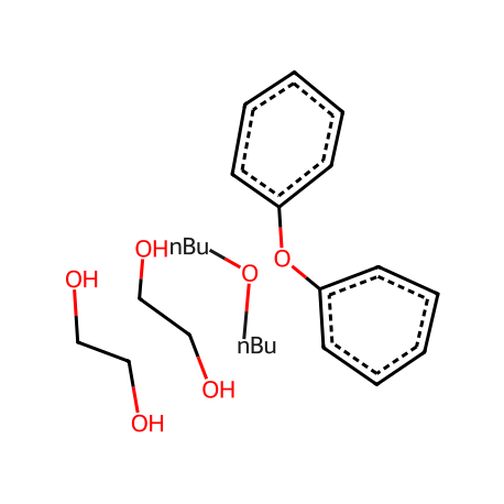 CCCCOCCCC.OCCO.OCCO.c1ccc(Oc2ccccc2)cc1